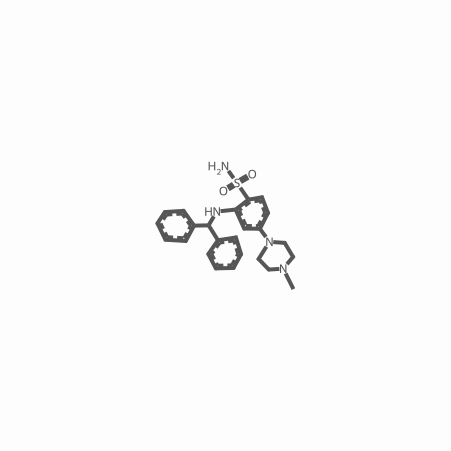 CN1CCN(c2ccc(S(N)(=O)=O)c(NC(c3ccccc3)c3ccccc3)c2)CC1